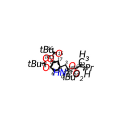 CCC(C)N[C@@](Cc1ccc(OC(=O)C(C)(C)C)c(OC(=O)C(C)(C)C)c1)(OC(=O)C(C)C(C)C)C(=O)O